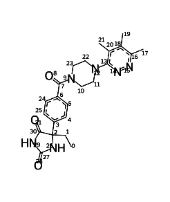 CCC1(c2ccc(C(=O)N3CCN(c4nnc(C)c(C)c4C)CC3)cc2)NC(=O)NC1=O